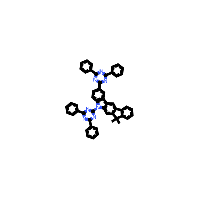 CC1(C)c2ccccc2-c2cc3c4cc(-c5nc(-c6ccccc6)nc(-c6ccccc6)n5)ccc4n(-c4nc(-c5ccccc5)nc(-c5ccccc5)n4)c3cc21